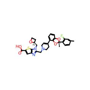 Cc1ccc([C@@]2(C)Oc3cccc(C4=CCN(Cc5nc6cc(C(=O)O)sc6n5C[C@@H]5CCO5)CC4)c3O2)c(F)c1